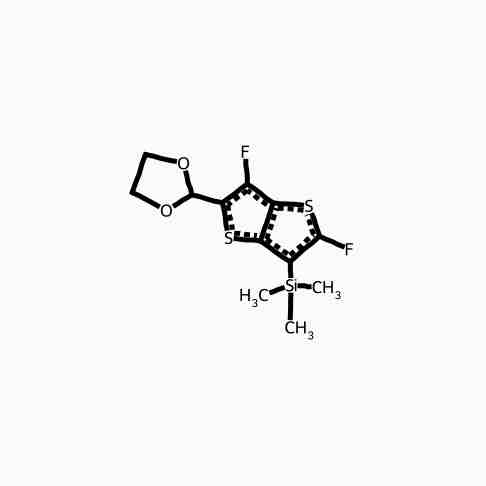 C[Si](C)(C)c1c(F)sc2c(F)c(C3OCCO3)sc12